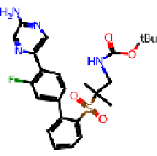 CC(C)(C)OC(=O)NCC(C)(C)S(=O)(=O)c1ccccc1-c1ccc(-c2cnc(N)cn2)c(F)c1